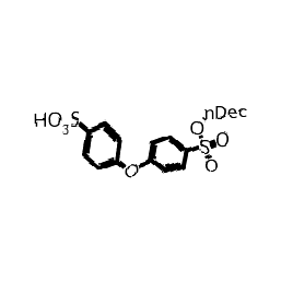 CCCCCCCCCCOS(=O)(=O)c1ccc(Oc2ccc(S(=O)(=O)O)cc2)cc1